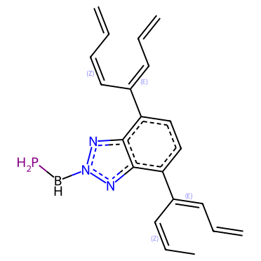 C=C/C=C\C(=C/C=C)c1ccc(C(/C=C\C)=C/C=C)c2nn(BP)nc12